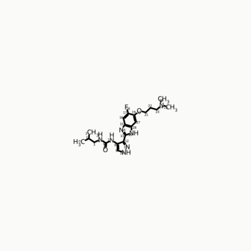 CC(C)CNC(=O)Nc1c[nH]nc1-c1nc2cc(F)c(OCCCN(C)C)cc2[nH]1